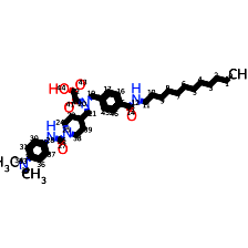 CCCCCCCCCCCCNC(=O)c1ccc(CN(CC2CCN(C(=O)Nc3ccc(N(C)C)cc3)CC2)C(=O)C(=O)O)cc1